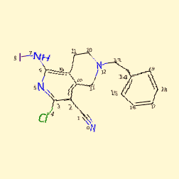 N#Cc1c(Cl)nc(NI)c2c1CN(Cc1ccccc1)CC2